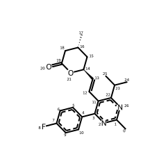 Cc1nc(-c2ccc(F)cc2)c(/C=C/[C@@H]2C[C@@H](C)CC(=O)O2)c(C(C)C)n1